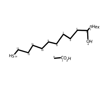 CC(=O)O.CCCCCCC(O)CCCCCCCCCS